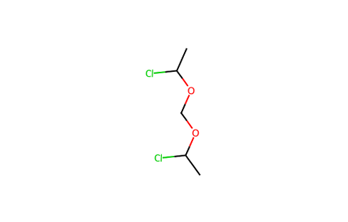 CC(Cl)OCOC(C)Cl